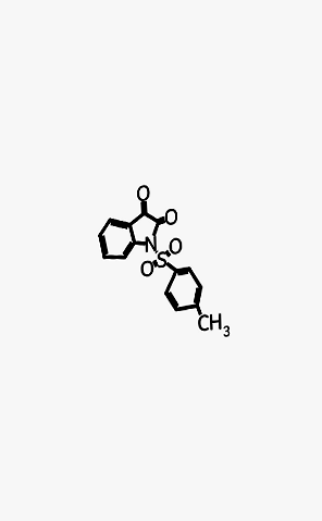 Cc1ccc(S(=O)(=O)N2C(=O)C(=O)c3ccccc32)cc1